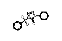 O=c1n(-c2ccccc2)nnn1S(=O)(=O)c1ccccc1